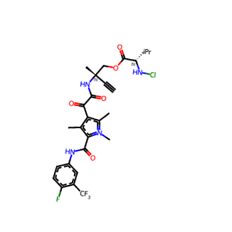 C#C[C@@](C)(COC(=O)[C@@H](NCl)C(C)C)NC(=O)C(=O)c1c(C)c(C(=O)Nc2ccc(F)c(C(F)(F)F)c2)n(C)c1C